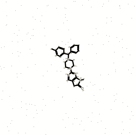 Cc1ccc(C(c2ccccc2)N2CCN(c3ncc4c(n3)N(C)C(=O)C4)CC2)cc1